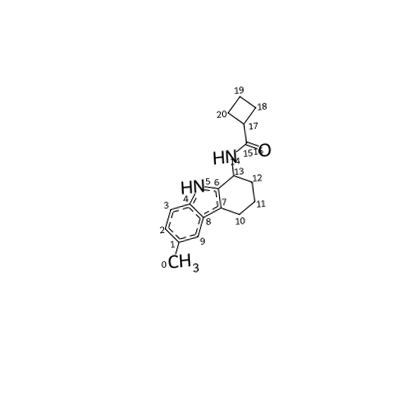 Cc1ccc2[nH]c3c(c2c1)CCCC3NC(=O)C1CCC1